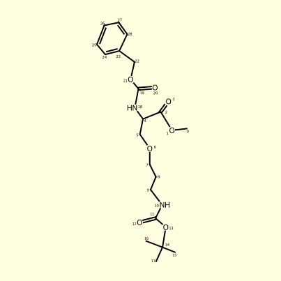 COC(=O)C(COCCCNC(=O)OC(C)(C)C)NC(=O)OCc1ccccc1